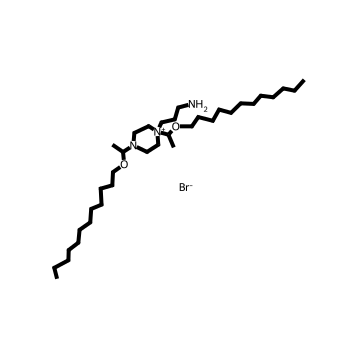 CCCCCCCCCCCCOC(C)N1CC[N+](CCCN)(C(C)OCCCCCCCCCCCC)CC1.[Br-]